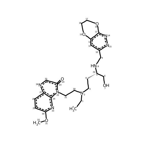 CCN(CC[C@@H](CO)NCc1cc2c(nn1)OCCO2)CCn1c(=O)cnc2ccc(OC)nc21